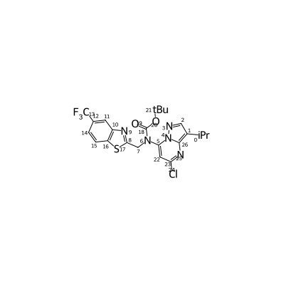 CC(C)c1cnn2c(N(Cc3nc4cc(C(F)(F)F)ccc4s3)C(=O)OC(C)(C)C)cc(Cl)nc12